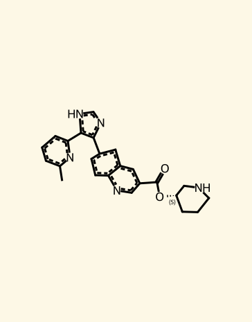 Cc1cccc(-c2[nH]cnc2-c2ccc3ncc(C(=O)O[C@H]4CCCNC4)cc3c2)n1